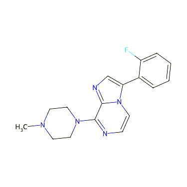 CN1CCN(c2nccn3c(-c4ccccc4F)cnc23)CC1